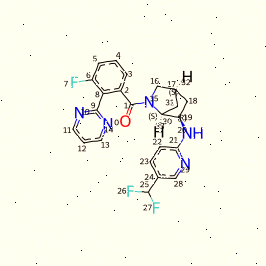 O=C(c1cccc(F)c1-c1ncccn1)N1C[C@H]2C[C@@H](Nc3ccc(C(F)F)cn3)[C@@H]1C2